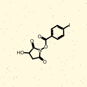 O=C(ON1C(=O)CC(O)C1=O)c1ccc(I)cc1